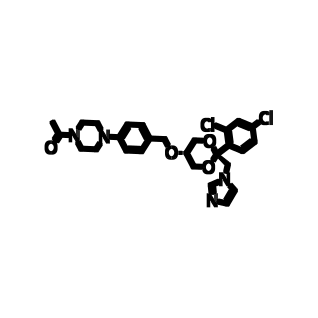 CC(=O)N1CCN(c2ccc(CO[C@H]3CO[C@@](Cn4ccnc4)(c4ccc(Cl)cc4Cl)OC3)cc2)CC1